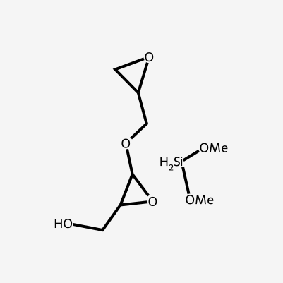 CO[SiH2]OC.OCC1OC1OCC1CO1